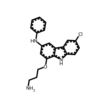 NCCCOc1cc(Nc2ccccc2)cc2c1[nH]c1ccc(Cl)cc12